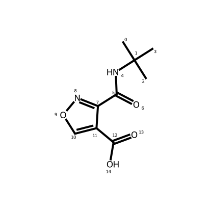 CC(C)(C)NC(=O)c1nocc1C(=O)O